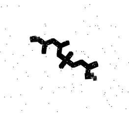 C=C(N)CCC(C)(C)CC(C)CN(C)C(C)(C)C